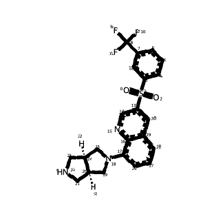 O=S(=O)(c1cccc(C(F)(F)F)c1)c1cnc2c(N3C[C@H]4CNC[C@H]4C3)cccc2c1